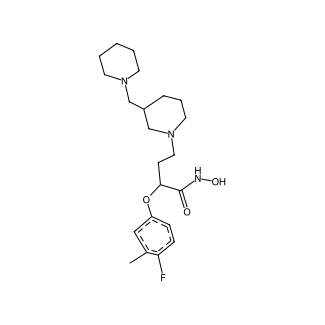 Cc1cc(OC(CCN2CCCC(CN3CCCCC3)C2)C(=O)NO)ccc1F